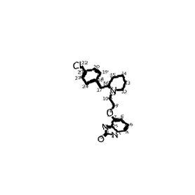 O=C1N=c2cccc(OCCN3CCCCC3Cc3ccc(Cl)cc3)c2=N1